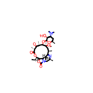 CC[C@H]1OC(=O)[C@H](C)C(=O)[C@H](C)[C@@H](OC2O[C@H](C)C[C@H](N(C)C)[C@H]2O)[C@@](C)(OC)C[C@@H](C)C2=N[C@@H](C)CN3C(=O)O[C@H]1[C@H]3[C@H]2C